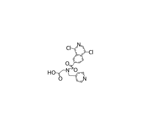 O=C(O)CN(Cc1ccncc1)S(=O)(=O)c1ccc2c(Cl)cnc(Cl)c2c1